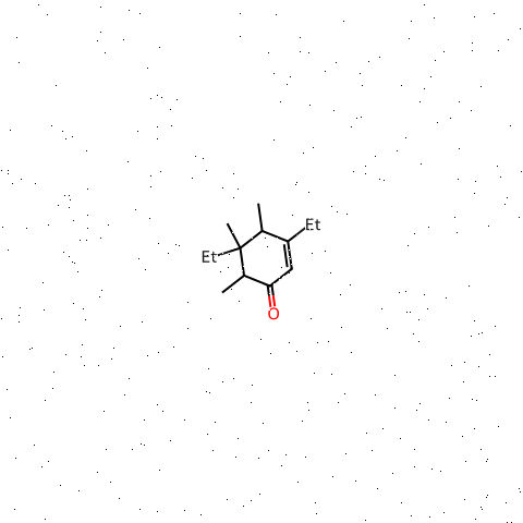 CCC1=CC(=O)C(C)C(C)(CC)C1C